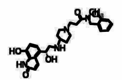 CN(Cc1ccccc1Cl)C(=O)CCN1CCC(NC[C@H](O)c2ccc(O)c3[nH]c(=O)ccc23)CC1